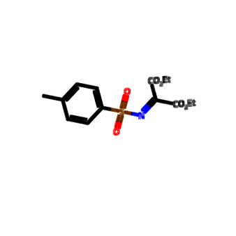 CCOC(=O)C(=NS(=O)(=O)c1ccc(C)cc1)C(=O)OCC